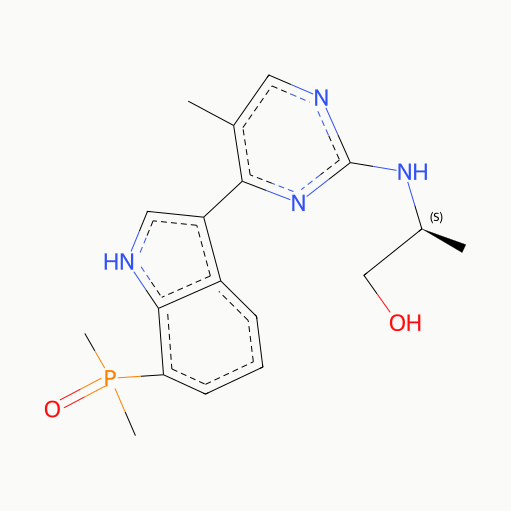 Cc1cnc(N[C@@H](C)CO)nc1-c1c[nH]c2c(P(C)(C)=O)cccc12